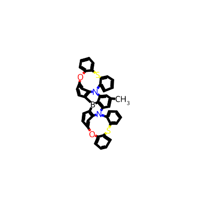 Cc1cc2c3c(c1)N1c4ccccc4Sc4ccccc4Oc4ccc(c1c4)B3c1ccc3cc1N2c1ccccc1Sc1ccccc1O3